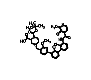 COc1nc(-c2cccc(-c3cccc(NC(=O)c4ccnn(C)c4=O)c3Cl)c2Cl)ccc1CN1CCN(C(=O)OC(C)(C)C)C(C(=O)O)C1